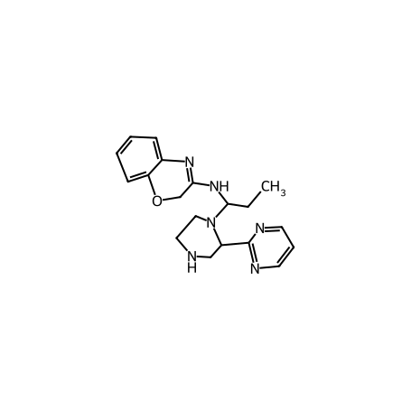 CCC(NC1=Nc2ccccc2OC1)N1CCNCC1c1ncccn1